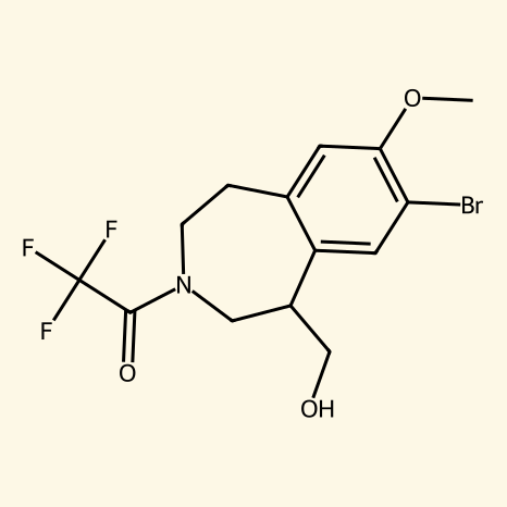 COc1cc2c(cc1Br)C(CO)CN(C(=O)C(F)(F)F)CC2